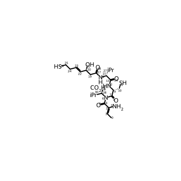 C/C=C(\N)C(=O)N(C(=O)[C@@H](CS)NC(=O)[C@H](NC(=O)C[C@H](O)/C=C/CCS)C(C)C)[C@H](C(=O)O)C(C)C